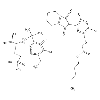 CCCCCOC(=O)COc1cc(N2C(=O)C3=C(CCCC3)C2=O)c(F)cc1Cl.CP(=O)(O)CCC(N)C(=O)O.CSc1nnc(C(C)(C)C)c(=O)n1N